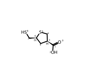 O=C(O)[C@@H]1CS[C@H](CS)C1